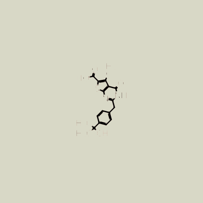 Cc1c(C(=O)O)sc2nc(Cc3ccc(C(C)(C)C)cc3)[nH]c(=O)c12